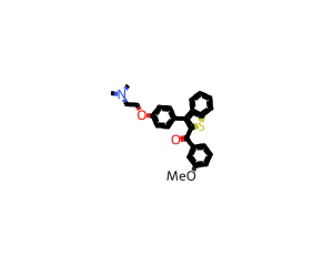 COc1cccc(C(=O)c2sc3ccccc3c2-c2ccc(OCCN(C)C)cc2)c1